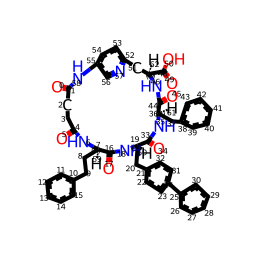 O=C1CCC(=O)N[C@H](CCc2ccccc2)C(=O)N[C@@H](Cc2ccc(-c3ccccc3)cc2)C(=O)N[C@H](Cc2ccccc2)C(=O)N[C@H](C(=O)O)Cc2ccc(cn2)N1